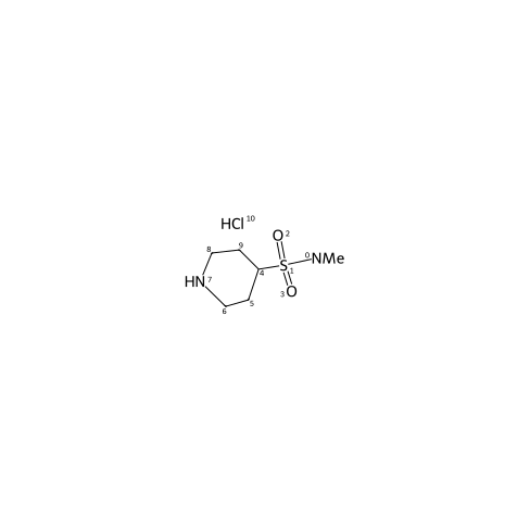 CNS(=O)(=O)C1CCNCC1.Cl